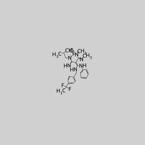 C/N=C1/C(=C(/NCc2ccc(C(C)(F)F)cc2)Nc2ccccc2)C(=N)N(CC(C)C)C(=O)N1C